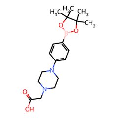 CC1(C)OB(c2ccc(N3CCN(CC(=O)O)CC3)cc2)OC1(C)C